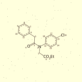 CCOC(=O)CN(C(=O)Cc1ccccc1)c1ccc(Cl)cc1